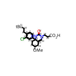 CO[C@H]1CCC2(c3ccc(CCC(C)(C)C)c(Cl)c3)NC(=O)N(CCC(=O)O)C=C2C1